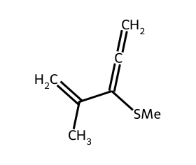 C=C=C(SC)C(=C)C